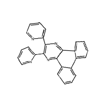 c1ccc(-c2nc3c4ccccc4c4ccccc4c3nc2-c2ccccn2)nc1